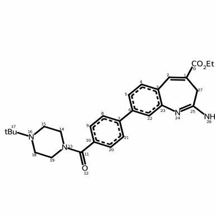 CCOC(=O)C1=Cc2ccc(-c3ccc(C(=O)N4CCN(C(C)(C)C)CC4)cc3)cc2N=C(N)C1